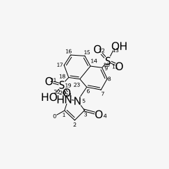 Cc1cc(=O)n(-c2ccc(S(=O)(=O)O)c3cccc(S(=O)(=O)O)c23)[nH]1